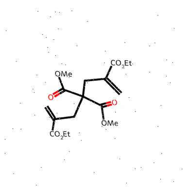 C=C(CC(CC(=C)C(=O)OCC)(C(=O)OC)C(=O)OC)C(=O)OCC